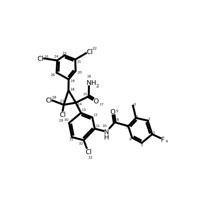 Cc1cc(F)ccc1C(=O)Nc1cc(C2(C(N)=O)C(c3cc(Cl)cc(Cl)c3)C2(Cl)Cl)ccc1Cl